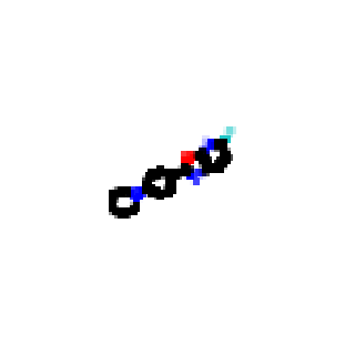 Fc1ccc2nc(-c3ccc(N4CCCCC4)cc3)oc2n1